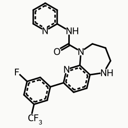 O=C(Nc1ccccn1)N1CCCNc2ccc(-c3cc(F)cc(C(F)(F)F)c3)nc21